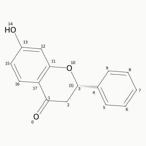 O=C1C[C@@H](c2ccccc2)Oc2cc(O)ccc21